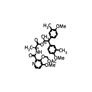 COc1ccc(C(c2ccc(OC)c(C)c2)[C@H](C)OC(=O)[C@H](C)NC(=O)c2nccc(OC)c2OCOC(C)=O)cc1C